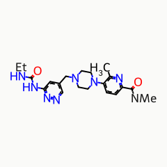 CCNC(=O)Nc1cc(CN2CCN(c3ccc(C(=O)NC)nc3C)CC2)cnn1